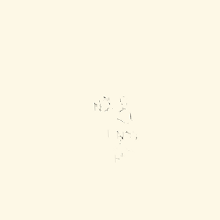 CC1(F)CC(NC(=O)c2ccc3c(c2)-c2cncn2CCO3)C1